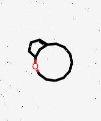 C1=C2CCCCCCCCCOC(CC1)C2